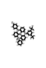 CC(C)(C)c1cc(N2c3cccc4c3B3c5c(cccc5[Si](C)(c5ccccc5)c5cccc2c53)N4c2ccc(F)cc2)cc(C(C)(C)C)c1